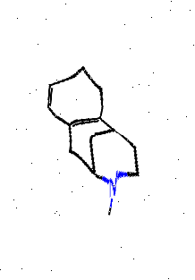 CN1CC[C@]23CCCCC2C1CC1=C3CCC=C1